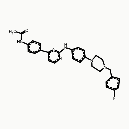 CC(=O)Nc1ccc(-c2ccnc(Nc3ccc(N4CCN(Cc5ccc(F)cc5)CC4)cc3)n2)cc1